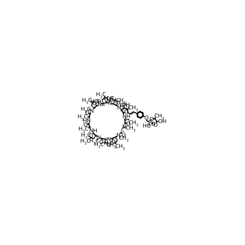 CC[C@@H]1NC(=O)[C@H]([C@H](O)[C@H](C)C/C=C/c2ccc(OCP(=O)(O)O[C@@H](C)C(=O)O)cc2)N(C)C(=O)[C@H](C(C)C)N(C)C(=O)[C@H](CC(C)C)N(C)C(=O)[C@H](CC(C)C)N(C)C(=O)[C@@H](C)NC(=O)[C@H](C)NC(=O)[C@H](CC(C)C)N(C)C(=O)[C@H](C(C)C)NC(=O)[C@H](CC(C)C)N(C)C(=O)CN(C)C1=O